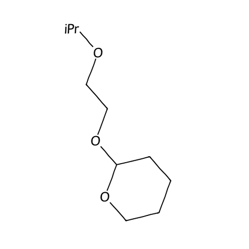 CC(C)OCCOC1CCCCO1